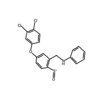 O=[S+]c1ccc(Oc2ccc(Cl)c(Cl)c2)cc1CNc1ccccc1